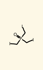 O=P(CI)(CI)CI